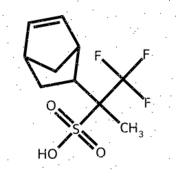 CC(C1CC2C=CC1C2)(C(F)(F)F)S(=O)(=O)O